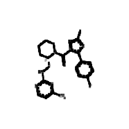 Cc1nc(C(=O)N2CCCC[C@H]2CNc2nccc(C(F)(F)F)n2)c(-c2ccc(F)cc2)s1